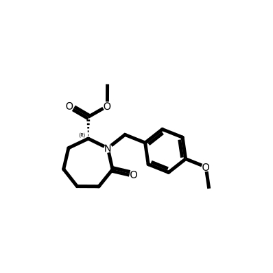 COC(=O)[C@H]1CCCCC(=O)N1Cc1ccc(OC)cc1